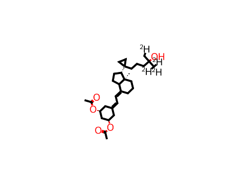 [2H]CC(O)(CCCC1([C@H]2CCC3/C(=C/C=C4C[C@@H](OC(C)=O)C[C@H](OC(C)=O)C4)CCC[C@@]32C)CC1)C([2H])([2H])[2H]